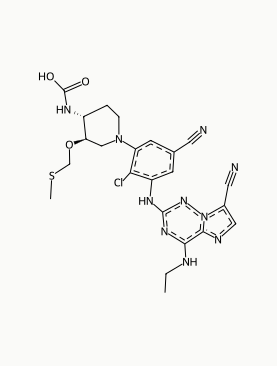 CCNc1nc(Nc2cc(C#N)cc(N3CC[C@@H](NC(=O)O)[C@H](OCSC)C3)c2Cl)nn2c(C#N)cnc12